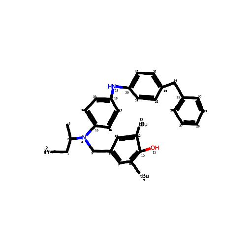 CC(C)CC(C)N(Cc1cc(C(C)(C)C)c(O)c(C(C)(C)C)c1)c1ccc(Nc2ccc(Cc3ccccc3)cc2)cc1